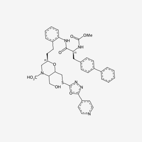 COC(=O)N[C@@H](Cc1ccc(-c2ccccc2)cc1)C(=O)Nc1ccccc1CC[C@@H]1CN(C(=O)O)C(CO)C(CSc2nnc(-c3ccncc3)o2)O1